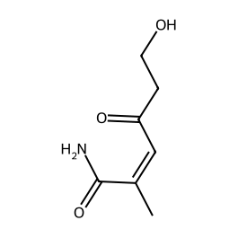 CC(=CC(=O)CCO)C(N)=O